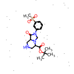 CC(C)(C)OC(=O)C1CNCC2C(=O)N(c3cccc(S(C)(=O)=O)c3)CN12